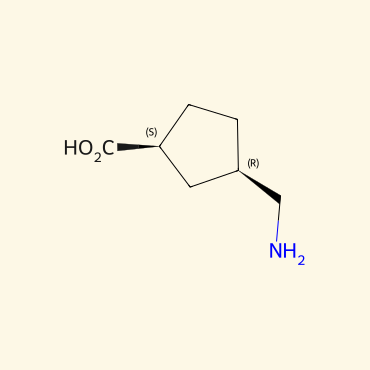 NC[C@@H]1CC[C@H](C(=O)O)C1